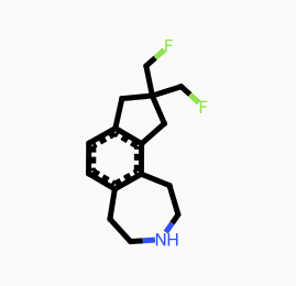 FCC1(CF)Cc2ccc3c(c2C1)CCNCC3